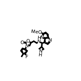 COc1ccc2nccc(C(NCCC3CN(c4ccc(C)c(F)c4)C(=O)O3)C3CNC3)c2n1